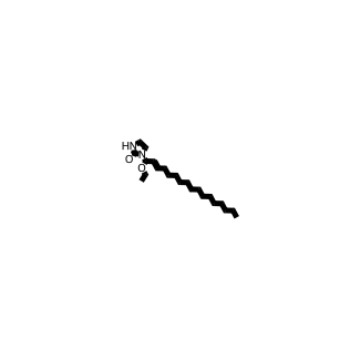 CCCCCCCCCCCCCCC=CC(OCC)N1CCNC1=O